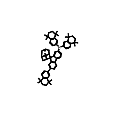 CC1(C)CCC(C)(C)c2cc(-c3ccc4c(c3)C3(c5cc(N(c6ccc7c(c6)C(C)(C)CCC7(C)C)c6ccc7c(c6)C(C)(C)CCC7(C)C)ccc5-4)C4CC5CC6CC3C64C5)ccc21